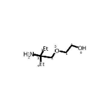 CCC(N)(CC)COCCO